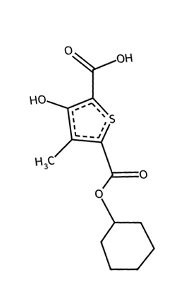 Cc1c(C(=O)OC2CCCCC2)sc(C(=O)O)c1O